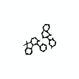 CC1(C)c2ccccc2-c2c1ccc1c2c2ccccc2n1-c1cc2ccccc2c2sc3ccc(Br)cc3c12